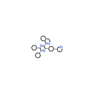 c1ccc(-c2nc(-c3ccc(-c4cccnc4)cc3)c(-c3nccc4ccccc34)nc2-c2ccccc2)cc1